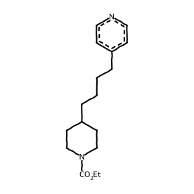 CCOC(=O)N1CCC(CCCCc2ccncc2)CC1